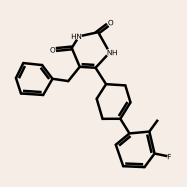 Cc1c(F)cccc1C1=CCC(c2[nH]c(=O)[nH]c(=O)c2Cc2ccccc2)CC1